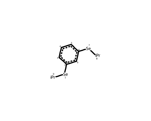 CC(C)[Se]c1[c]ccc([Se]C(C)C)c1